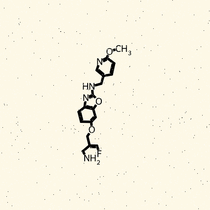 COc1ccc(CNc2nc3ccc(OCC(=CF)CN)cc3o2)cn1